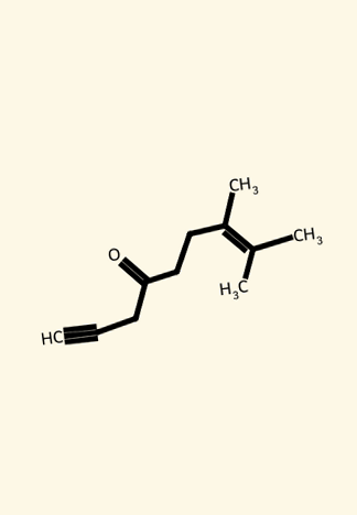 C#CCC(=O)CCC(C)=C(C)C